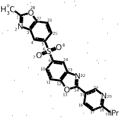 Cc1nc2cc(S(=O)(=O)c3ccc4oc(-c5ccc(C(C)C)nc5)nc4c3)ccc2o1